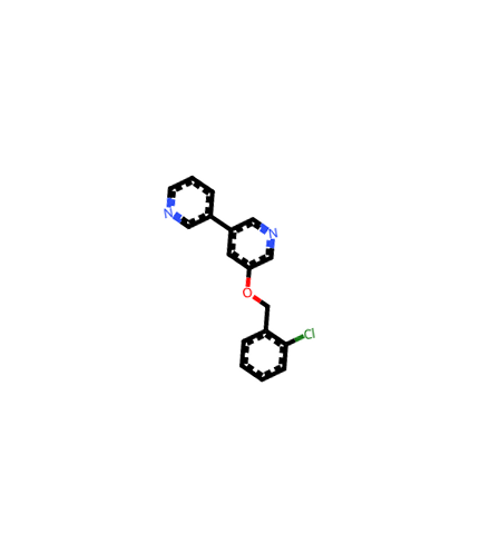 Clc1ccccc1COc1cncc(-c2cccnc2)c1